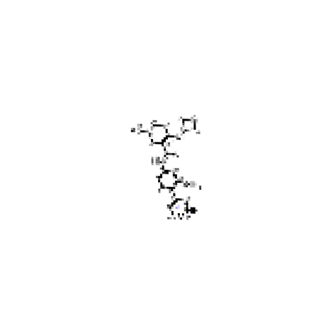 CN/C=C(\C=N)c1ccc(NC(=N)C2=C(NC3COC3)CCN(C(C)=O)C2)cc1N